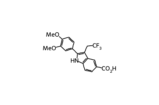 COc1ccc(-c2[nH]c3ccc(C(=O)O)cc3c2CC(F)(F)F)cc1OC